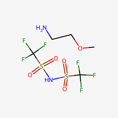 COCCN.O=S(=O)(NS(=O)(=O)C(F)(F)F)C(F)(F)F